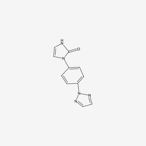 O=c1[nH]ccn1-c1ccc(-n2nccn2)cc1